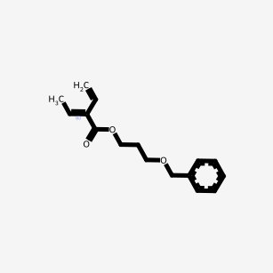 C=C/C(=C\C)C(=O)OCCCOCc1ccccc1